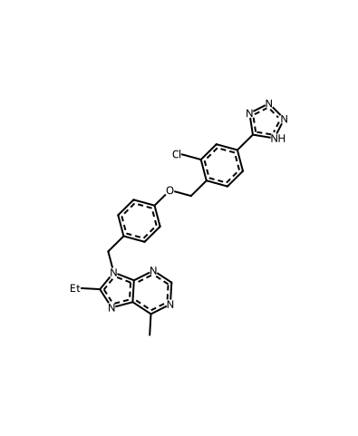 CCc1nc2c(C)ncnc2n1Cc1ccc(OCc2ccc(-c3nnn[nH]3)cc2Cl)cc1